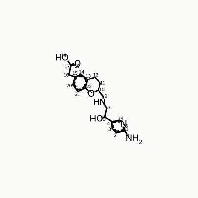 Nc1ccc(C(O)CNCC2CCc3cc(CC(=O)O)ccc3O2)cn1